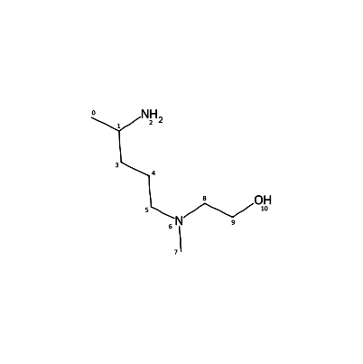 CC(N)CCCN(C)CCO